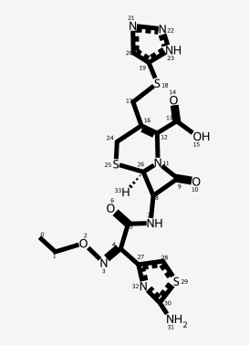 CCO/N=C(\C(=O)NC1C(=O)N2C(C(=O)O)=C(CSc3cnn[nH]3)CS[C@H]12)c1csc(N)n1